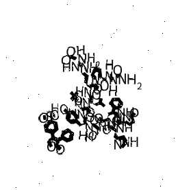 CC(=O)O.CC(C)C[C@H](NC(=O)[C@@H](COC(C)(C)C)NC(=O)[C@H](Cc1ccc(O)cc1)NC(=O)[C@H](CO)NC(=O)[C@H](Cc1c[nH]c2ccccc12)NC(=O)[C@H](Cc1c[nH]cn1)NC(=O)[C@@H]1CCC(=O)N1)C(=O)N[C@@H](CCCNC(=N)N)C(=O)N1CCC[C@H]1C(=O)NNC(N)=O.CS(=O)(=O)c1ccc(C2=C(c3ccccc3)C(=O)OC2)cc1